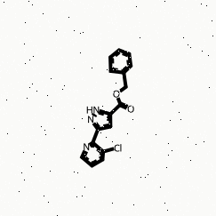 O=C(OCc1ccccc1)c1cc(-c2ncccc2Cl)n[nH]1